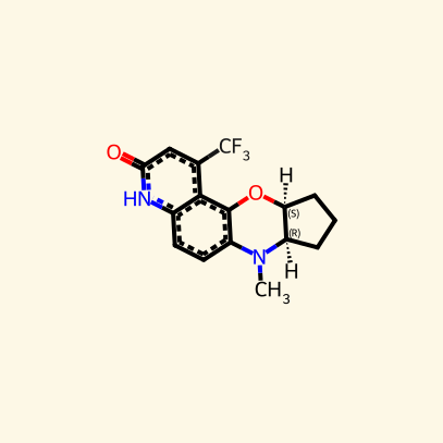 CN1c2ccc3[nH]c(=O)cc(C(F)(F)F)c3c2O[C@H]2CCC[C@H]21